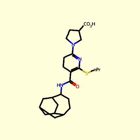 CCCSC1=C(C(=O)NC2CCC3CC4CC3CC2C4)CCC(N2CCC(C(=O)O)C2)=N1